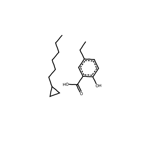 CCCCCCC1CC1.CCc1ccc(O)c(C(=O)O)c1